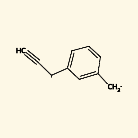 C#C[CH]c1cccc([CH2])c1